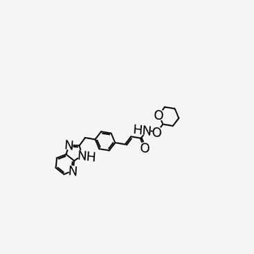 O=C(/C=C/c1ccc(Cc2nc3cccnc3[nH]2)cc1)NOC1CCCCO1